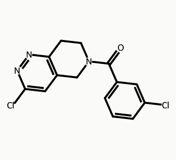 O=C(c1cccc(Cl)c1)N1CCc2nnc(Cl)cc2C1